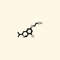 CC(C)C1Cc2cc(OCCO)cc(Cl)c2C=N1